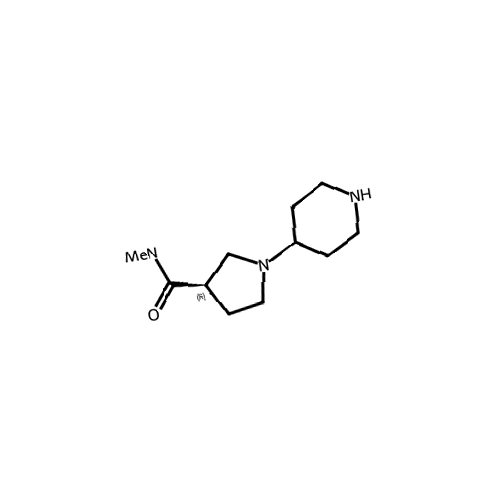 CNC(=O)[C@@H]1CCN(C2CCNCC2)C1